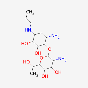 CCCNC1CC(N)C(OC2OC(C(C)O)C(O)C(O)C2N)C(O)C1O